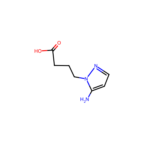 Nc1ccnn1CCCC(=O)O